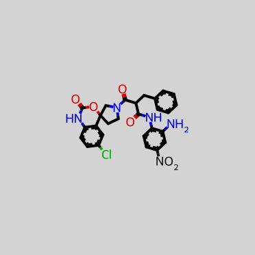 Nc1cc([N+](=O)[O-])ccc1NC(=O)C(Cc1ccccc1)C(=O)N1CCC2(C1)OC(=O)Nc1ccc(Cl)cc12